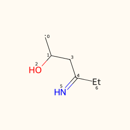 [CH2]C(O)CC(=N)CC